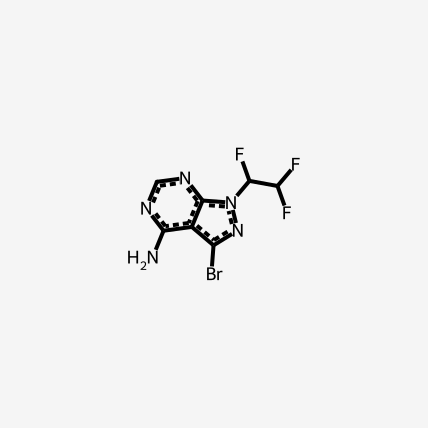 Nc1ncnc2c1c(Br)nn2C(F)C(F)F